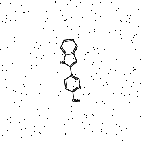 COc1ccc(-c2cc3ccccc3[nH]2)cn1